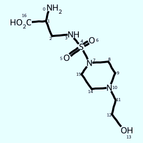 NC(CNS(=O)(=O)N1CCN(CCO)CC1)C(=O)O